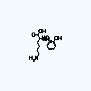 NCCCC[C@H](N)C(=O)O.Oc1ccccc1O